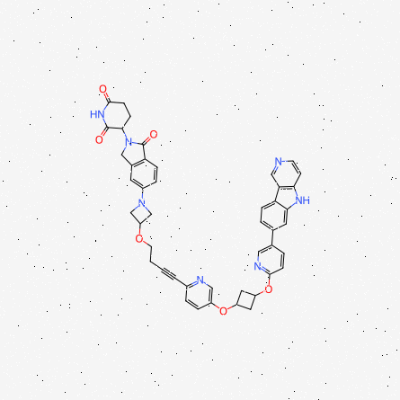 O=C1CCC(N2Cc3cc(N4CC(OCCC#Cc5ccc(OC6CC(Oc7ccc(-c8ccc9c(c8)[nH]c8ccncc89)cn7)C6)cn5)C4)ccc3C2=O)C(=O)N1